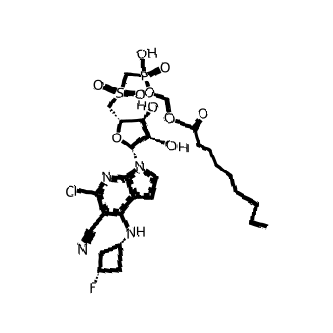 CCCCCCCCC(=O)OCOP(=O)(O)CS(=O)(=O)C[C@H]1O[C@@H](n2ccc3c(N[C@H]4C[C@@H](F)C4)c(C#N)c(Cl)nc32)[C@H](O)[C@@H]1O